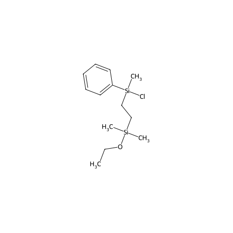 CCO[Si](C)(C)CC[Si](C)(Cl)c1ccccc1